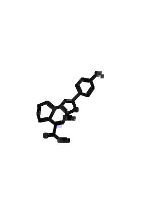 CO/C=C(/C(=O)OC)c1ccccc1-c1cc(-c2ccc(C(F)(F)F)cc2)on1